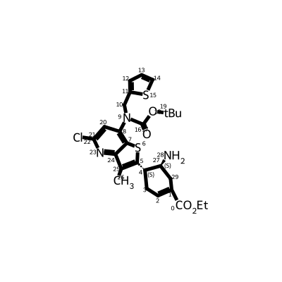 CCOC(=O)C1=CC[C@H](c2sc3c(N(Cc4cccs4)C(=O)OC(C)(C)C)cc(Cl)nc3c2C)[C@@H](N)C1